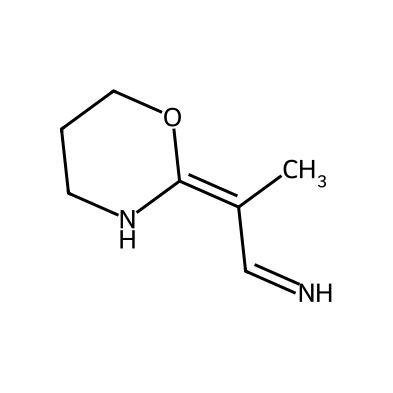 C/C(C=N)=C1/NCCCO1